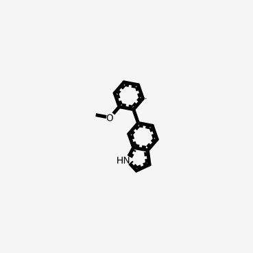 COc1ccc[c]c1-c1ccc2cc[nH]c2c1